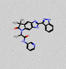 CC(C(=O)Nc1cccnc1)N1C(=O)C(C)(C)c2cc3nc(-c4n[nH]c5ccccc45)[nH]c3cc21